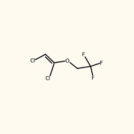 FC(F)(F)COC(Cl)=CCl